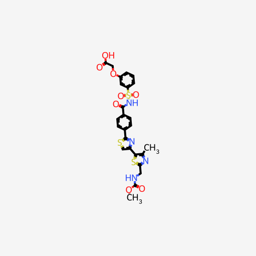 COC(=O)NCc1nc(C)c(-c2csc(-c3ccc(C(=O)NS(=O)(=O)c4cccc(OCC(=O)O)c4)cc3)n2)s1